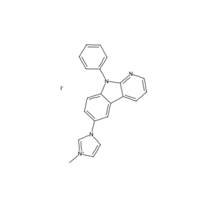 C[n+]1ccn(-c2ccc3c(c2)c2cccnc2n3-c2ccccc2)c1.[I-]